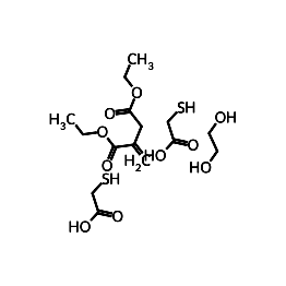 C=C(CC(=O)OCC)C(=O)OCC.O=C(O)CS.O=C(O)CS.OCCO